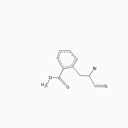 COC(=O)c1ccccc1CC(Br)C=O